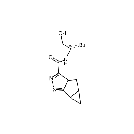 CC(C)(C)[C@@H](CO)NC(=O)C1=NN=C2C1CC1CC21